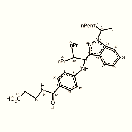 CCCCCC(C)n1nc(C(Nc2ccc(C(=O)NCCC(=O)O)cc2)C(CCC)CCC)c2ccccc21